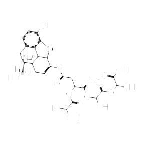 CC(O)C(=O)OC(CC(=O)OC1=CC[C@@]2(O)[C@H]3Cc4ccc(O)c5c4[C@@]2(CCN3C)[C@H]1O5)C(=O)OC(C)C(=O)OC(C)C(=O)O